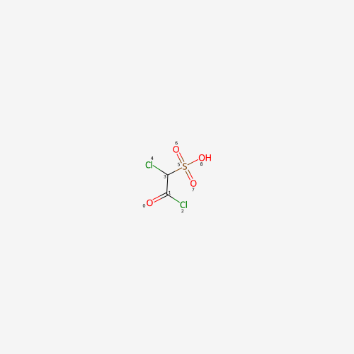 O=C(Cl)C(Cl)S(=O)(=O)O